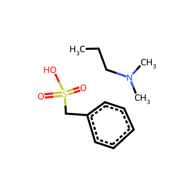 CCCN(C)C.O=S(=O)(O)Cc1ccccc1